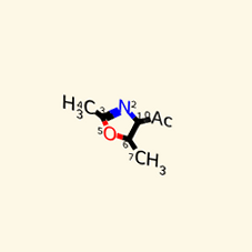 CC(=O)C1N=C(C)OC1C